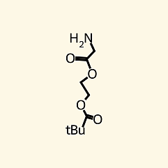 CC(C)(C)C(=O)OCCOC(=O)CN